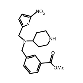 COC(=O)c1cccc(CN(Cc2ccc([N+](=O)[O-])s2)C2CCNCC2)c1